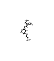 CC(C)CCCN1CCO[C@@H](CCN(C)CC(C)C)C1